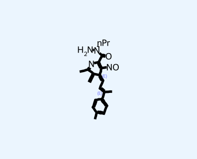 C=c1c(C)nc(C(=O)N(N)CCC)c(N=O)/c1=C/C=C(\C)c1ccc(C)cc1